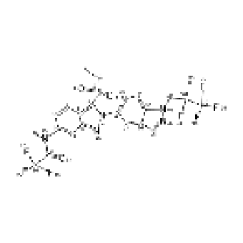 CCS(=O)(=O)c1c2ccc(N(C)C(=O)C(F)(F)F)cc2nn1-c1cc2cnn(CC(F)(F)C(F)(F)F)c2cn1